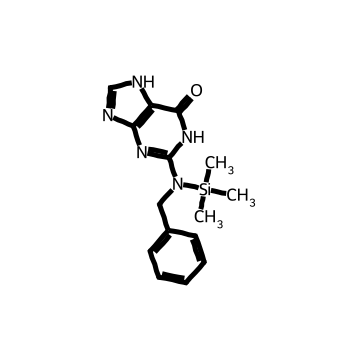 C[Si](C)(C)N(Cc1ccccc1)c1nc2nc[nH]c2c(=O)[nH]1